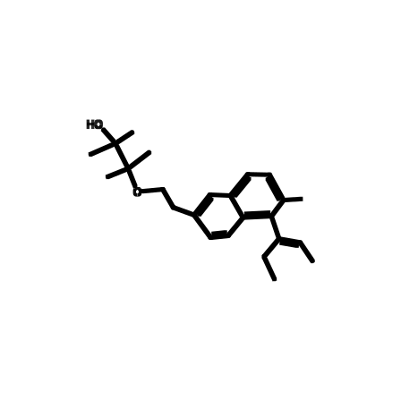 C/C=C(\CC)c1c(C)ccc2cc(CCOC(C)(C)C(C)(C)O)ccc12